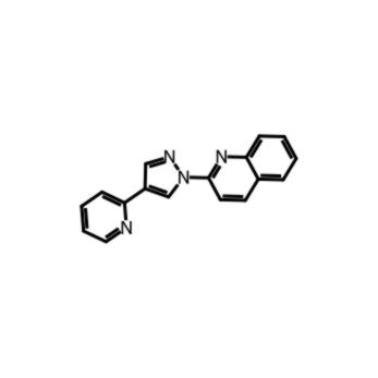 c1ccc(-c2cnn(-c3ccc4ccccc4n3)c2)nc1